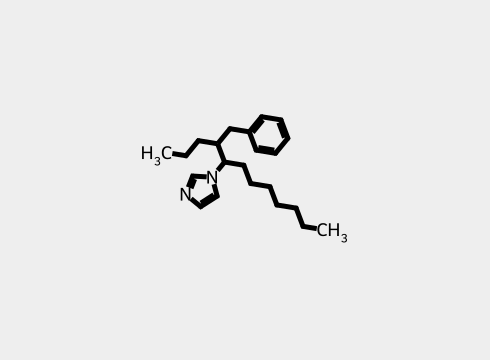 CCCCCCCC(C(CCC)Cc1ccccc1)n1ccnc1